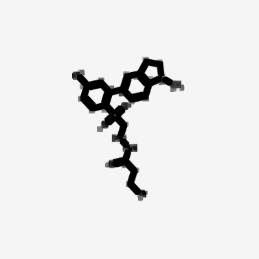 CC(C)CCC(=O)NNCS(=O)(=O)c1ccc(Cl)cc1-c1ccc2c(c1)CCN2C